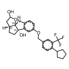 OC1C[C@H]2CC[C@]3(O)c4cc(OCc5ccc(C6CCCC6)c(C(F)(F)F)c5)ccc4N[C@]23O1